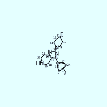 Cc1ccc(-c2nc(N3CCC(F)CC3)nc3c2CCNCC3)cc1